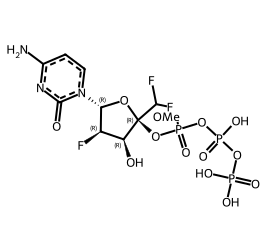 COP(=O)(O[C@]1(C(F)F)O[C@@H](n2ccc(N)nc2=O)[C@H](F)[C@@H]1O)OP(=O)(O)OP(=O)(O)O